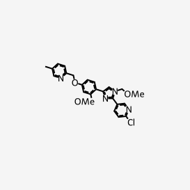 COCn1cc(-c2ccc(OCc3ccc(C)cn3)cc2OC)nc1-c1ccc(Cl)nc1